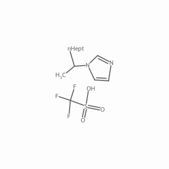 CCCCCCCC(C)n1ccnc1.O=S(=O)(O)C(F)(F)F